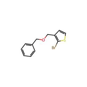 Brc1sccc1COCc1ccccc1